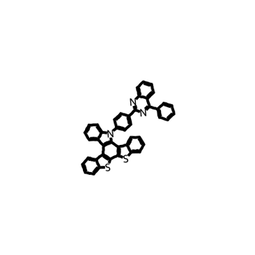 c1ccc(-c2nc(-c3ccc(-n4c5ccccc5c5c6c7ccccc7sc6c6sc7ccccc7c6c54)cc3)nc3ccccc23)cc1